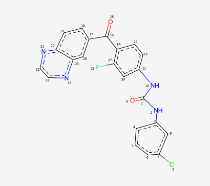 O=C(Nc1cccc(Cl)c1)Nc1ccc(C(=O)c2ccc3nccnc3c2)c(F)c1